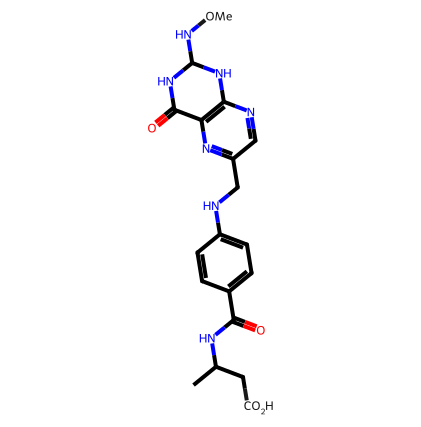 CONC1NC(=O)c2nc(CNc3ccc(C(=O)NC(C)CC(=O)O)cc3)cnc2N1